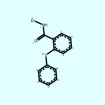 CCNC(=O)c1ccccc1Sc1ccccc1